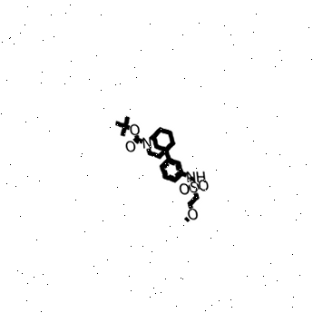 COCCS(=O)(=O)Nc1cccc(C23CCCC(C2)N(C(=O)OC(C)(C)C)CC3)c1